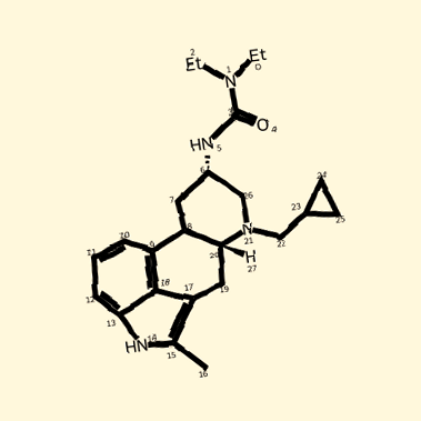 CCN(CC)C(=O)N[C@H]1CC2c3cccc4[nH]c(C)c(c34)C[C@H]2N(CC2CC2)C1